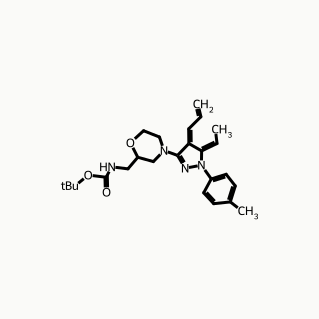 C=C/C=c1/c(N2CCOC(CNC(=O)OC(C)(C)C)C2)nn(-c2ccc(C)cc2)/c1=C/C